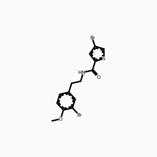 COc1ccc(CCNC(=O)c2cc(Br)cs2)cc1Br